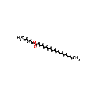 CCCCCCCCCC=CC=CC=CC=CC=CC(=O)OCCCCCC